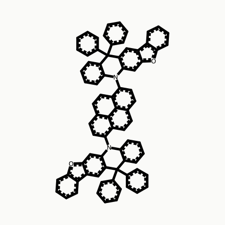 c1ccc(C2(c3ccccc3)c3ccccc3N(c3ccc4ccc5c(N6c7ccccc7C(c7ccccc7)(c7ccccc7)c7cc8c(cc76)oc6ccccc68)ccc6ccc3c4c65)c3cc4oc5ccccc5c4cc32)cc1